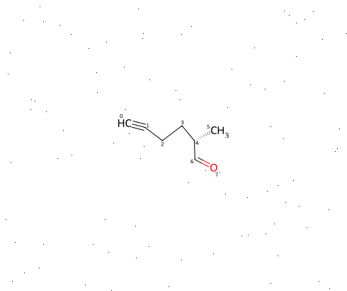 C#CCC[C@H](C)C=O